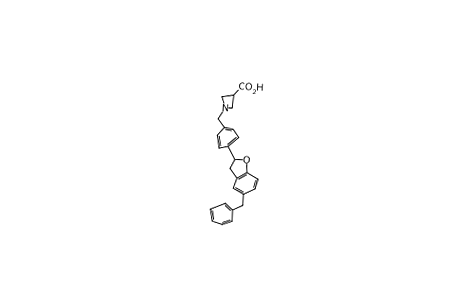 O=C(O)C1CN(Cc2ccc(C3Cc4cc(Cc5ccccc5)ccc4O3)cc2)C1